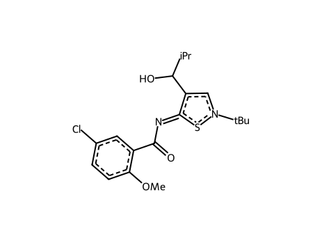 COc1ccc(Cl)cc1C(=O)N=c1sn(C(C)(C)C)cc1C(O)C(C)C